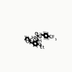 CCOc1ccc(CC2(C(=O)O)CCCO2)cc1CNC(=O)OCc1ccc(C(F)(F)F)cc1